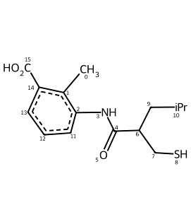 Cc1c(NC(=O)C(CS)CC(C)C)cccc1C(=O)O